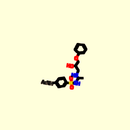 CC(=O)Nc1ccc(S(=O)(=O)NC(C)NCC(O)COc2ccccc2)cc1